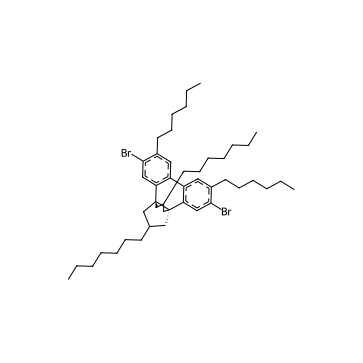 CCCCCCCC1C[C@]23CC(CCCCCCC)C[C@@]2(C1)c1cc(Br)c(CCCCCC)cc1-c1cc(CCCCCC)c(Br)cc13